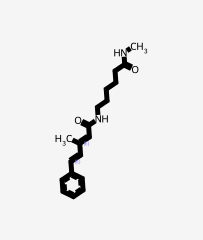 CNC(=O)CCCCCNC(=O)/C=C(C)/C=C/c1ccccc1